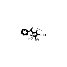 CCCC1=C(C=O)C(C)=C(C(=O)c2ccccc2)[N+]1(O)O